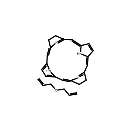 C=CCOCC=C.c1cc2cc3nc(cc4ccc(cc5nc(cc1[nH]2)CC5)[nH]4)CC3